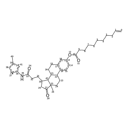 C=CCCCCCCCCC(=O)Oc1ccc2c(c1)CCC1C2CCC2(C)C(=O)CC(CCC(=O)Nc3ncc(C)s3)C12